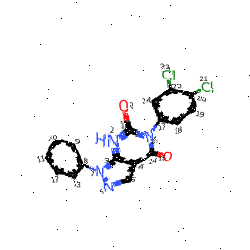 O=c1[nH]c2c(cnn2-c2ccccc2)c(=O)n1-c1ccc(Cl)c(Cl)c1